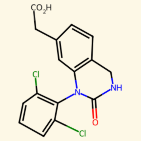 O=C(O)Cc1ccc2c(c1)N(c1c(Cl)cccc1Cl)C(=O)NC2